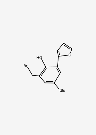 CC(C)(C)c1cc(CBr)c(O)c(-c2ccco2)c1